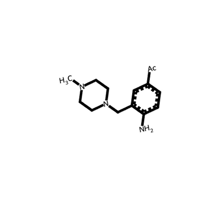 CC(=O)c1ccc(N)c(CN2CCN(C)CC2)c1